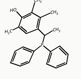 Cc1cc(C(C)P(c2ccccc2)c2ccccc2)c(C)c(C)c1O